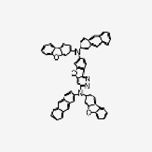 c1ccc2cc3cc(N(c4ccc5c(c4)oc4ccccc45)c4ccc5c(c4)oc4cc(N(c6ccc7cc8ccccc8cc7c6)c6ccc7c(c6)oc6ccccc67)nnc45)ccc3cc2c1